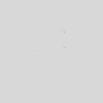 Oc1cc2ccccc2cc1-c1nc(Cl)nc(-c2ccccc2)c1F